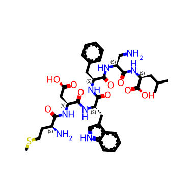 CSCC[C@H](N)C(=O)N[C@@H](CC(=O)O)C(=O)N[C@@H](Cc1c[nH]c2ccccc12)C(=O)N[C@@H](Cc1ccccc1)C(=O)N[C@@H](CN)C(=O)N[C@@H](CC(C)C)C(=O)O